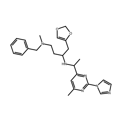 Cc1cc(C(C)NC(CCN(C)Cc2ccccc2)CC2=COCO2)nc(-n2ccnc2)n1